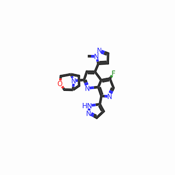 Cn1nccc1-c1cc(N2C3CCC2COC3)nc2c(-c3ccn[nH]3)ncc(F)c12